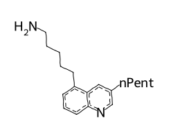 CCCCCc1cnc2cccc(CCCCCN)c2c1